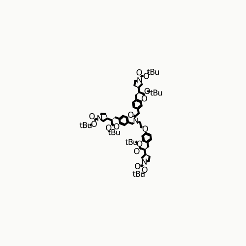 CC(C)(C)OC(=O)[C@@H](Cc1ccc(CC(=O)N(CCOc2ccc(C[C@H](C(=O)OC(C)(C)C)[C@H]3CCN(C(=O)OC(C)(C)C)C3)cc2)Cc2ccc(C[C@H](C(=O)OC(C)(C)C)[C@H]3CCN(C(=O)OC(C)(C)C)C3)cc2)cc1)[C@H]1CCN(C(=O)OC(C)(C)C)C1